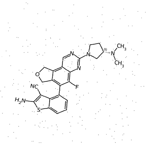 CN(C)[C@H]1CCN(c2ncc3c4c(c(-c5cccc6sc(N)c(C#N)c56)c(F)c3n2)COC4)C1